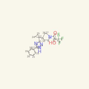 O=C([C@@H](O)C(F)(F)F)N1CCC(C2(c3n[nH]c(-c4ccccc4)n3)CC2)CC1